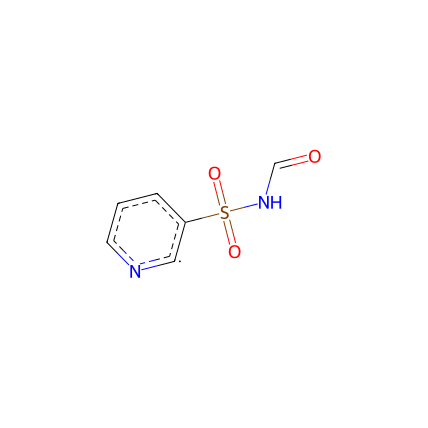 O=CNS(=O)(=O)c1[c]nccc1